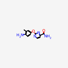 Cc1cc(Oc2nccc(C(N)=O)n2)ccc1N